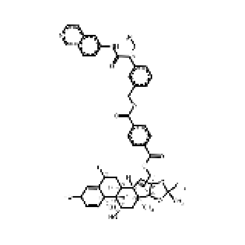 CC1(C)O[C@@H]2C[C@H]3[C@@H]4C[C@H](F)C5=CC(O)C=C[C@]5(C)[C@@]4(F)[C@@H](O)C[C@]3(C)[C@]2(C(=O)COC(=O)c2ccc(C(=O)OCc3cccc([C@@H](CN)C(=O)Nc4ccc5cnccc5c4)c3)cc2)O1